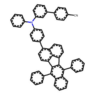 N#Cc1ccc(-c2cccc(N(c3ccccc3)c3ccc(-c4ccc5c6c(cccc46)-c4c-5c(-c5ccccc5)c5ccccc5c4-c4ccccc4)cc3)c2)cc1